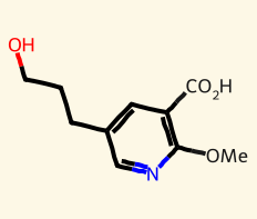 COc1ncc(CCCO)cc1C(=O)O